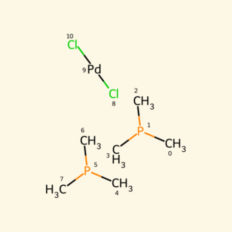 CP(C)C.CP(C)C.[Cl][Pd][Cl]